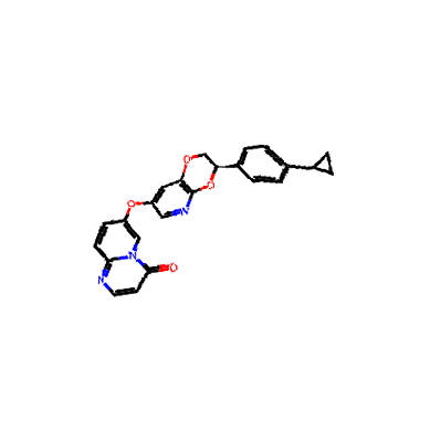 O=c1ccnc2ccc(Oc3cnc4c(c3)OC[C@@H](c3ccc(C5CC5)cc3)O4)cn12